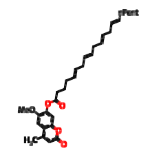 CCCCCC=CCC=CCC=CCC=CCCCC(=O)Oc1cc2oc(=O)cc(C)c2cc1OC